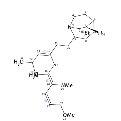 CC[C@@H]1CN2CCC1CCC2CC/C(=C/C(C)Cl)C/C(C)=C(/C=C\COC)NC